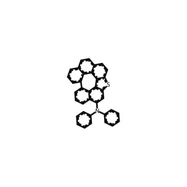 c1ccc(N(c2ccccc2)c2cc3sc4ccc5ccc6cccc7c6c5c4c3c3c-7cccc23)cc1